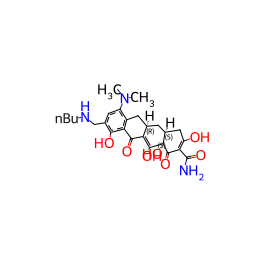 CCCCNCc1cc(N(C)C)c2c(c1O)C(=O)C1=C(O)[C@]3(O)C(=O)C(C(N)=O)=C(O)C[C@@H]3C[C@@H]1C2